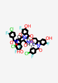 CC1=C(OC(=O)Cc2c(C)n(C(=O)c3ccc(Cl)c(F)c3)c3cc(F)c(O)cc23)c2cc(O)c(F)cc2[N+]1(C(=O)c1ccc(Cl)c(F)c1)C(C(N)=O)c1c(C)n(C(=O)c2ccc(Cl)c(F)c2)c2cc(F)c(O)cc12